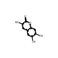 N#Cc1cc2cc(C#N)c(=O)oc2cc1C#N